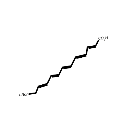 CCCCCCCCCC/C=C/C=C/C=C/C=C/C=C/C(=O)O